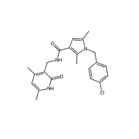 Cc1cc(C)c(CNC(=O)c2cc(C)n(Cc3ccc(Cl)cc3)c2C)c(=O)[nH]1